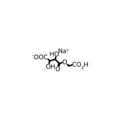 O=C(O)COC(=O)C(O)C(O)C(=O)[O-].[Na+]